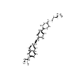 CCCCCC1CCC(c2ccc(C#Cc3ccc4cc(OCC)ccc4c3)cc2)CC1